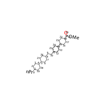 CCCC1CCC(C2CCC(CCc3ccc(C4CCC(C(=O)OC)CC4)cc3)CC2)CC1